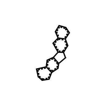 [CH]1c2cc3ccccc3cc2-c2cc3ccccc3cc21